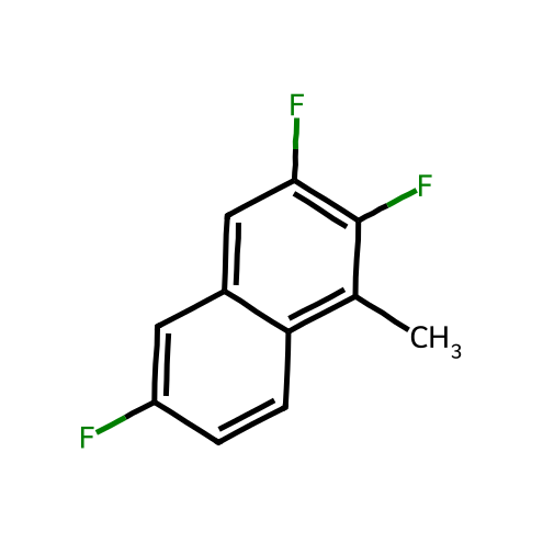 Cc1c(F)c(F)cc2cc(F)ccc12